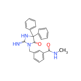 CNC(=O)c1cccc(CN2C(=N)NC(c3ccccc3)(c3ccccc3)C2=O)c1